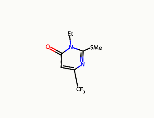 CCn1c(SC)nc(C(F)(F)F)cc1=O